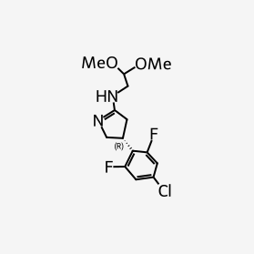 COC(CNC1=NC[C@@H](c2c(F)cc(Cl)cc2F)C1)OC